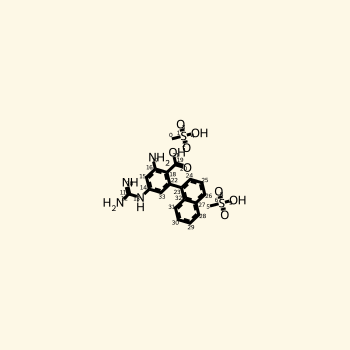 CS(=O)(=O)O.CS(=O)(=O)O.N=C(N)Nc1cc(N)c(C(=O)O)c(-c2cccc3ccccc23)c1